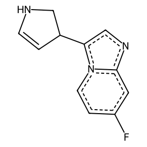 Fc1ccn2c(C3C=CNC3)cnc2c1